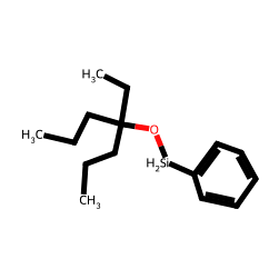 CCCC(CC)(CCC)O[SiH2]c1ccccc1